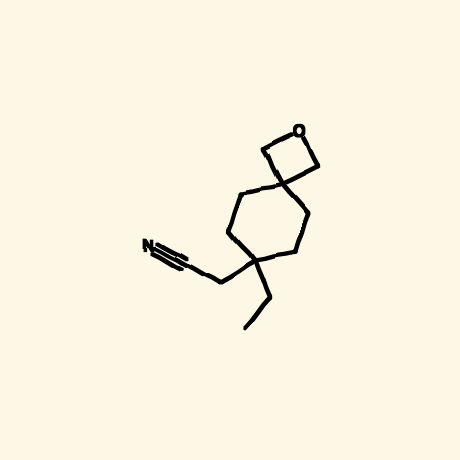 CCC1(CC#N)CCC2(CC1)COC2